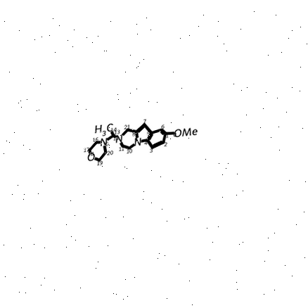 COc1ccc2c(c1)cc1n2CCN(C(C)N2CCOCC2)C1